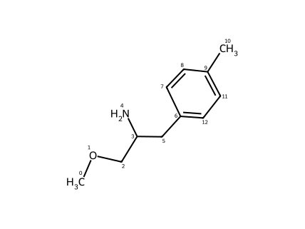 COCC(N)Cc1ccc(C)cc1